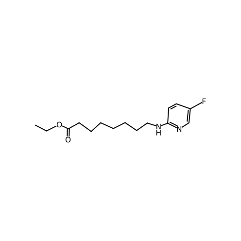 CCOC(=O)CCCCCCCNc1ccc(F)cn1